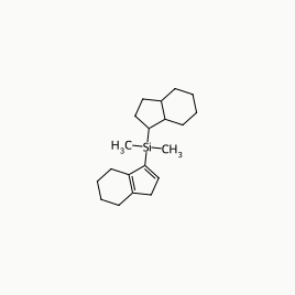 C[Si](C)(C1=CCC2=C1CCCC2)C1CCC2CCCCC21